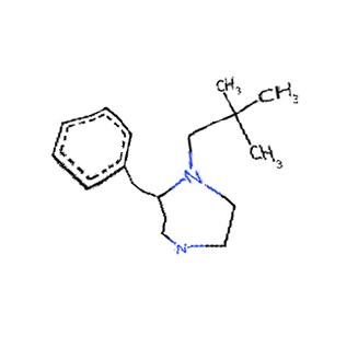 CC(C)(C)CN1CC[N]CC1c1ccccc1